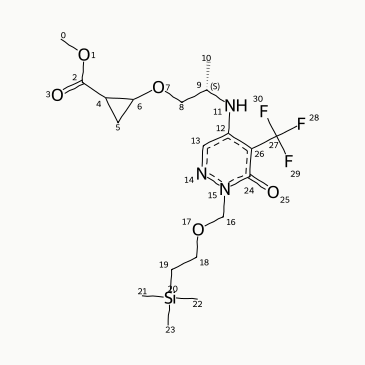 COC(=O)C1CC1OC[C@H](C)Nc1cnn(COCC[Si](C)(C)C)c(=O)c1C(F)(F)F